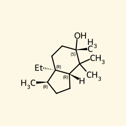 CC[C@]12CC[C@](C)(O)C(C)(C)[C@@H]1CC[C@H]2C